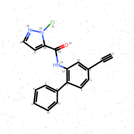 C#Cc1ccc(-c2ccccc2)c(NC(=O)c2ccnn2Cl)c1